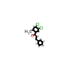 Cc1cc(Cl)c(Cl)cc1C(=O)/C=C/c1ccccc1